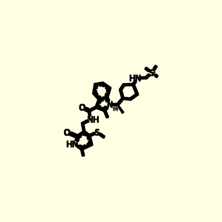 CSc1cc(C)[nH]c(=O)c1CNC(=O)c1c(C)n([C@H](C)C2CCC(NC[Si](C)(C)C)CC2)c2ccccc12